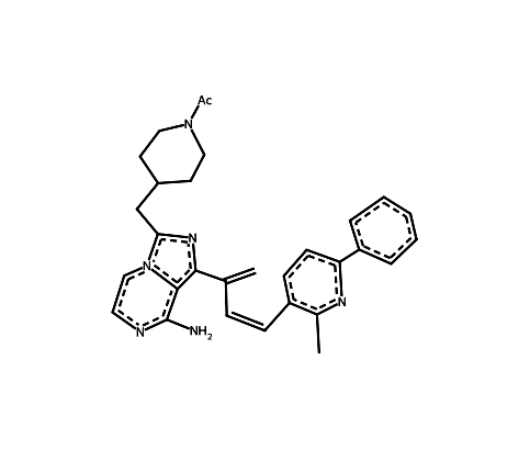 C=C(/C=C\c1ccc(-c2ccccc2)nc1C)c1nc(CC2CCN(C(C)=O)CC2)n2ccnc(N)c12